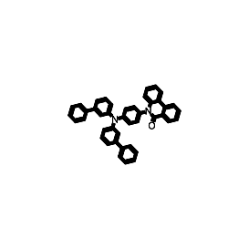 O=c1c2ccccc2c2ccccc2n1-c1ccc(N(c2cccc(-c3ccccc3)c2)c2cccc(-c3ccccc3)c2)cc1